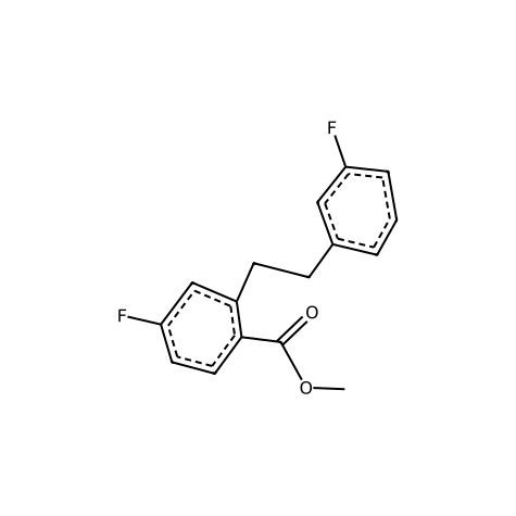 COC(=O)c1ccc(F)cc1CCc1cccc(F)c1